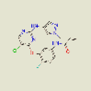 C=CC(=O)Nc1ccc(F)c(Oc2nc(Nc3cnn(C)c3)ncc2Cl)c1